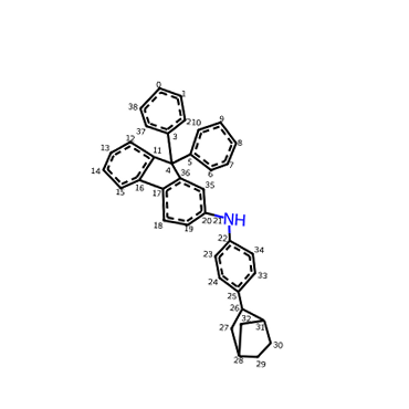 c1ccc(C2(c3ccccc3)c3ccccc3-c3ccc(Nc4ccc(C5CC6CCC5C6)cc4)cc32)cc1